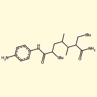 CC(CC(C(=O)Nc1ccc(N)cc1)C(C)(C)C)C(C)C(CC(C)(C)C)C(N)=O